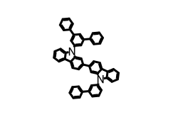 c1ccc(-c2cccc(-n3c4ccccc4c4ccc(-c5ccc6c7ccccc7n(-c7cc(-c8ccccc8)cc(-c8ccccc8)c7)c6c5)cc43)c2)cc1